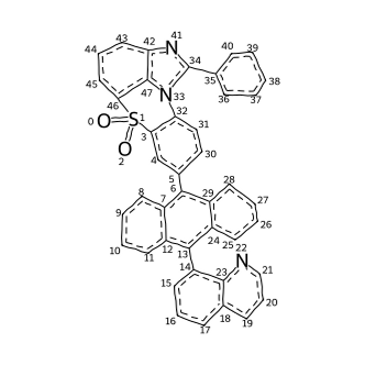 O=S1(=O)c2cc(-c3c4ccccc4c(-c4cccc5cccnc45)c4ccccc34)ccc2-n2c(-c3ccccc3)nc3cccc1c32